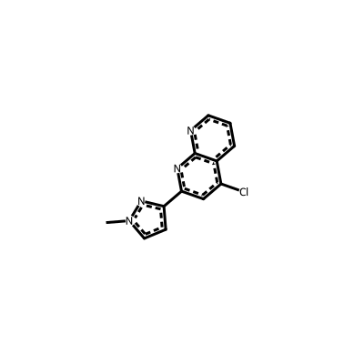 Cn1ccc(-c2cc(Cl)c3cccnc3n2)n1